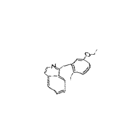 CCOc1ccc(C)c(-c2nccc3ccccc23)c1